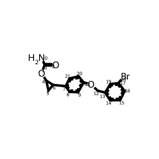 NC(=O)OC1CC1c1ccc(OCc2cccc(Br)c2)cc1